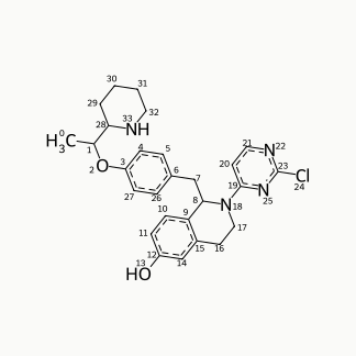 CC(Oc1ccc(CC2c3ccc(O)cc3CCN2c2ccnc(Cl)n2)cc1)C1CCCCN1